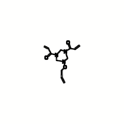 C=C=CON1CN(C(=O)C=C)CN(C(=O)C=C)C1